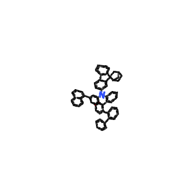 c1ccc(-c2ccccc2-c2ccccc2-c2ccccc2N(c2cccc(-c3cccc4ccccc34)c2)c2ccc3c(c2)C2(CC4CCC2C4)c2ccccc2-3)cc1